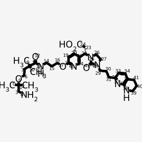 CC(C)(CN)OCCC(C)(C)C(=O)NCCCOc1ccc([C@H](CC(=O)O)N2CCN(CCCc3ccc4c(n3)NCCC4)C2=O)cn1